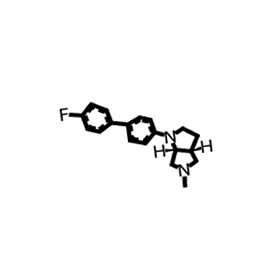 CN1C[C@H]2CCN(c3ccc(-c4ccc(F)cc4)cc3)[C@H]2C1